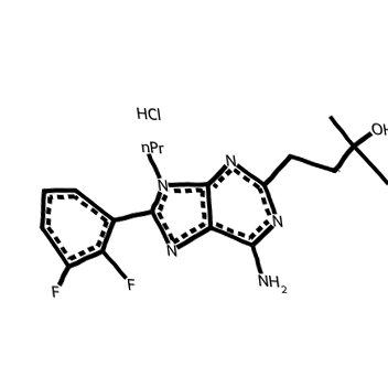 CCCn1c(-c2cccc(F)c2F)nc2c(N)nc(C[CH]C(C)(C)O)nc21.Cl